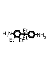 CCc1c(N)ccc(C(CC)(CC)c2ccc(N)cc2)c1CC